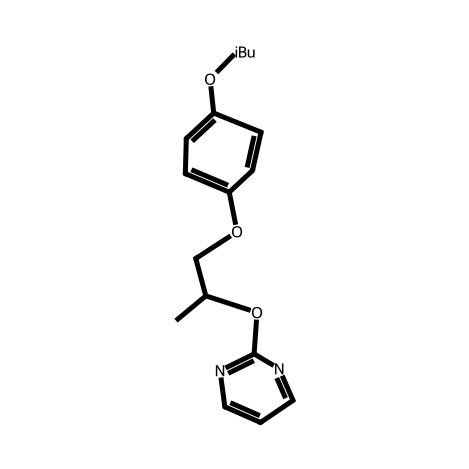 CCC(C)Oc1ccc(OCC(C)Oc2ncccn2)cc1